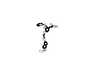 COc1ccc2cc(OCCCOc3ccc(CCC(=O)O)c(CNC(=O)c4ccccn4)c3)ccc2c1